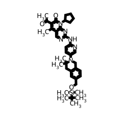 CC(=O)c1c(C)c2cnc(Nc3ccc(N4Cc5ccc(CO[Si](C)(C)C(C)(C)C)cc5CC4(C)C)cn3)nc2n(C2CCCC2)c1=O